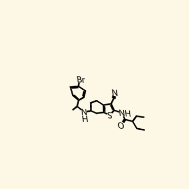 CCC(CC)C(=O)Nc1sc2c(c1C#N)CCC(NC(C)c1ccc(Br)cc1)C2